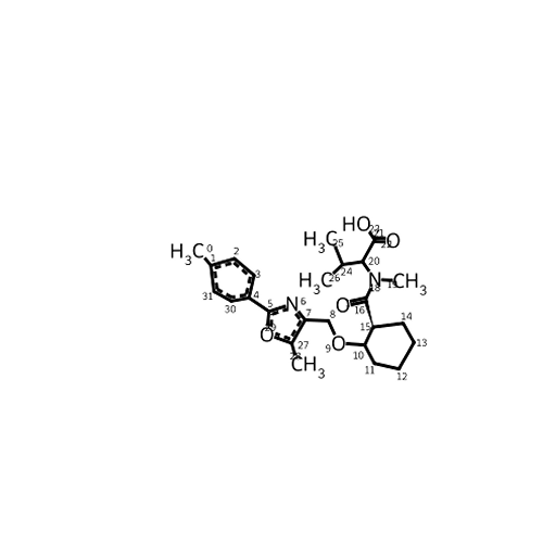 Cc1ccc(-c2nc(COC3CCCC[C@@H]3C(=O)N(C)C(C(=O)O)C(C)C)c(C)o2)cc1